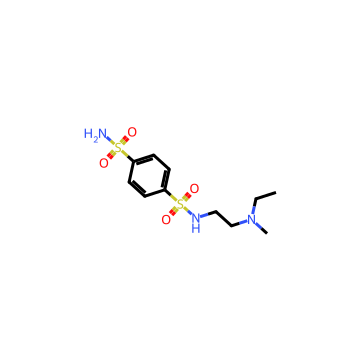 CCN(C)CCNS(=O)(=O)c1ccc(S(N)(=O)=O)cc1